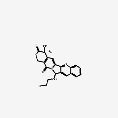 CC[C@@]1(O)C(=O)OCc2c1cc1n(c2=O)C(NCCCl)c2cc3ccccc3nc2-1